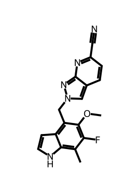 COc1c(F)c(C)c2[nH]ccc2c1Cn1cc2ccc(C#N)nc2n1